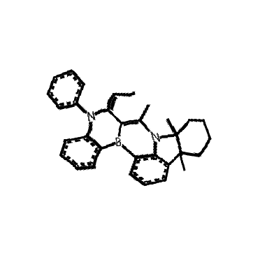 C/C=C1\C2=C(C)N3c4c(cccc4C4(C)CCCCC34C)B2c2ccccc2N1c1ccccc1